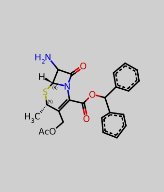 CC(=O)OCC1=C(C(=O)OC(c2ccccc2)c2ccccc2)N2C(=O)C(N)[C@H]2S[C@H]1C